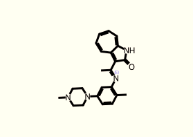 C/C(=N\c1cc(N2CCN(C)CC2)ccc1C)c1c2cccccc-2[nH]c1=O